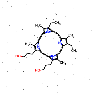 CCC1=C(C)c2cc3[nH]c(cc4nc(cc5[nH]c(cc1n2)c(C)c5CCCO)C(CCCO)=C4C)c(C)c3CC